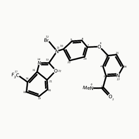 CNC(=O)c1cc(Oc2ccc(N(Br)c3nc4c(C(F)(F)F)cccc4o3)cc2)ccn1